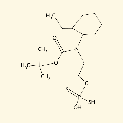 CCC1CCCCC1N(CCOP(O)(=S)S)C(=O)OC(C)(C)C